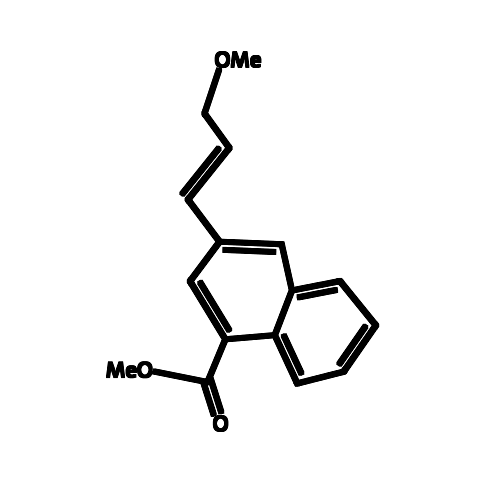 COCC=Cc1cc(C(=O)OC)c2ccccc2c1